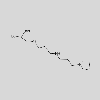 CCCCC(CCC)COCCCNCCCN1CCCC1